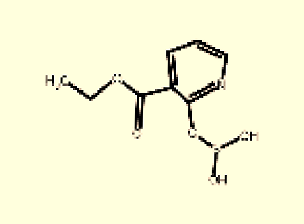 CCOC(=O)c1cccnc1OB(O)O